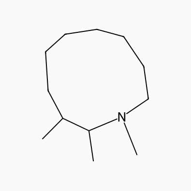 CC1CCCCCCCN(C)C1C